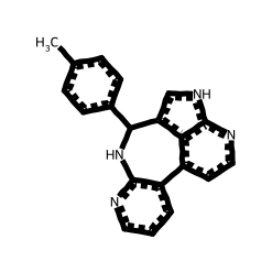 Cc1ccc(C2Nc3ncccc3-c3ccnc4[nH]cc2c34)cc1